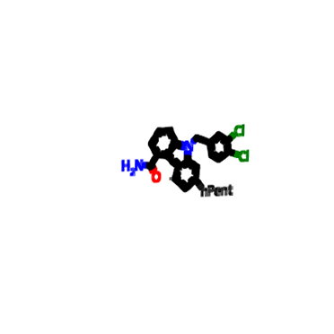 CCCCCc1c[c]c2c3c(C(N)=O)cccc3n(Cc3ccc(Cl)c(Cl)c3)c2c1